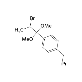 COC(OC)(c1ccc(CC(C)C)cc1)C(C)Br